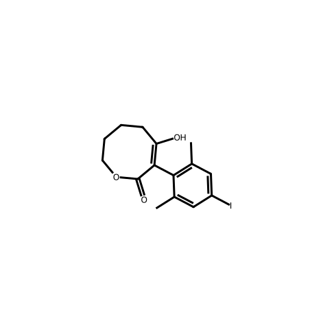 Cc1cc(I)cc(C)c1/C1=C(\O)CCCCOC1=O